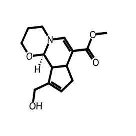 COC(=O)C1=CN2CCCO[C@@H]2C2C(CO)=CCC12